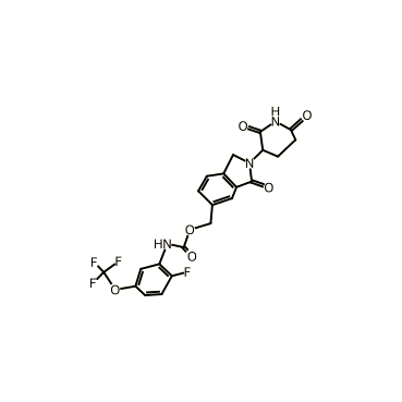 O=C1CCC(N2Cc3ccc(COC(=O)Nc4cc(OC(F)(F)F)ccc4F)cc3C2=O)C(=O)N1